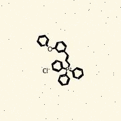 C(=Cc1cccc(Oc2ccccc2)c1)C[P+](c1ccccc1)(c1ccccc1)c1ccccc1.[Cl-]